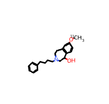 [11CH3]Oc1ccc2c(c1)CCN(CCCCc1ccccc1)CC2O